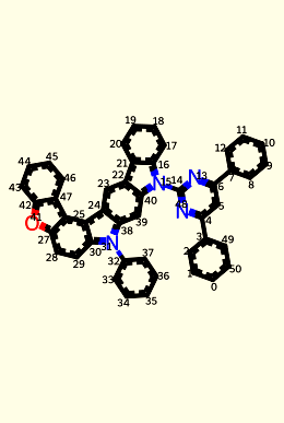 c1ccc(-c2cc(-c3ccccc3)nc(-n3c4ccccc4c4cc5c6c7c(ccc6n(-c6ccccc6)c5cc43)oc3ccccc37)n2)cc1